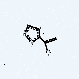 C=C(C#N)c1cc[nH]n1